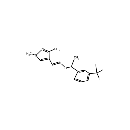 Cc1nn(C)[c]c1C=NOC(C)c1cccc(C(F)(F)F)c1